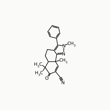 Cn1nc2c(c1-c1ccccc1)CCC1C(C)(C)C(=O)C(C#N)=CC21C